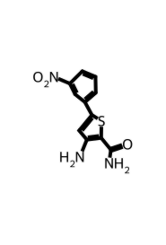 NC(=O)c1sc(-c2cccc([N+](=O)[O-])c2)cc1N